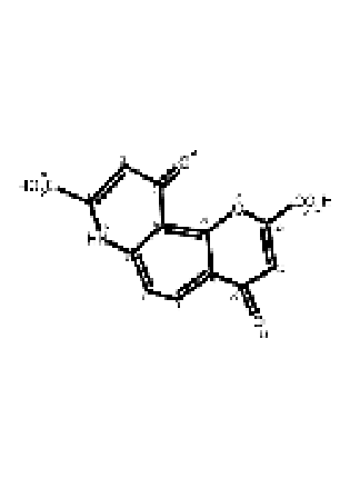 O=C(O)c1cc(=O)c2c(ccc3c(=O)cc(C(=O)O)oc32)[nH]1